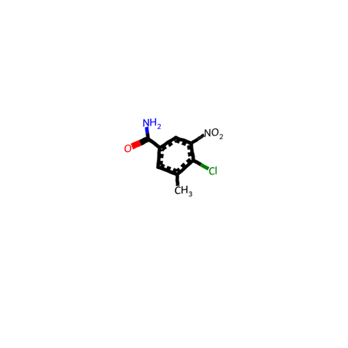 Cc1cc(C(N)=O)cc([N+](=O)[O-])c1Cl